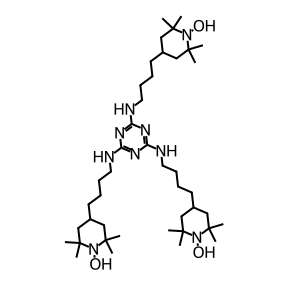 CC1(C)CC(CCCCNc2nc(NCCCCC3CC(C)(C)N(O)C(C)(C)C3)nc(NCCCCC3CC(C)(C)N(O)C(C)(C)C3)n2)CC(C)(C)N1O